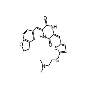 CN(C)CCSc1ccc(C=c2[nH]c(=O)c(=Cc3ccc4c(c3)CCO4)[nH]c2=O)s1